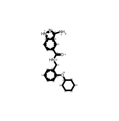 Nc1n[nH]c2ccc(C(=O)NCc3ccccc3OC3CCCCC3)cc12